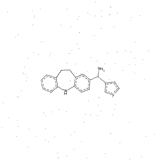 NC(c1ccsc1)c1ccc2c(c1)CCc1ccccc1N2